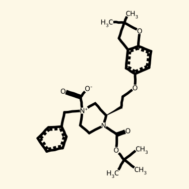 CC(C)(C)OC(=O)N1CC[N+](Cc2ccccc2)(C(=O)[O-])C[C@H]1CCOc1ccc2c(c1)CC(C)(C)O2